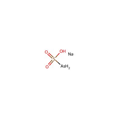 O=S(=O)(O)[AsH2].[Na]